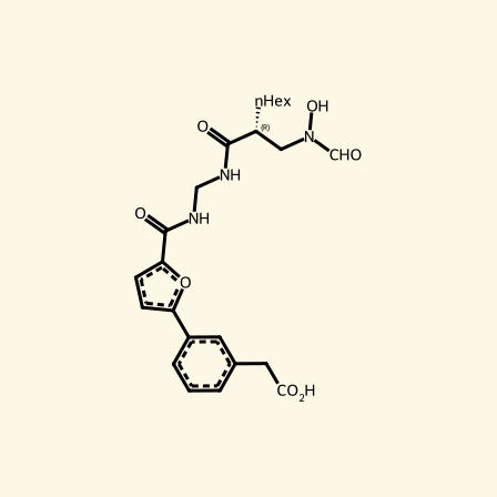 CCCCCC[C@H](CN(O)C=O)C(=O)NCNC(=O)c1ccc(-c2cccc(CC(=O)O)c2)o1